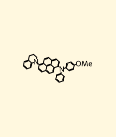 COc1ccc(N(c2ccccc2)c2ccc3ccc4c(N5CCCc6ccccc65)ccc5ccc2c3c54)cc1